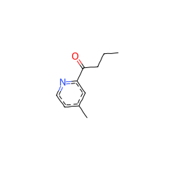 CCCC(=O)c1cc(C)ccn1